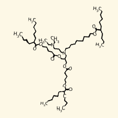 CCCCCCC(CCCC)C(=O)OCCCCCCCCCN(CCCN(CC)CC)CC(COC(=O)CCCCOC(=O)C(CCCC)CCCCCC)COC(=O)CCCCOC(=O)C(CCCC)CCCCCC